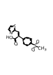 CS(=O)(=O)c1ccc(C(=Cc2nccs2)C(=O)O)cc1